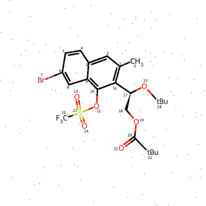 Cc1cc2ccc(Br)cc2c(OS(=O)(=O)C(F)(F)F)c1[C@H](COC(=O)C(C)(C)C)OC(C)(C)C